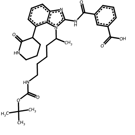 CC(CCCCNC(=O)OC(C)(C)C)n1c(NC(=O)c2cccc(C(=O)O)c2)nc2cccc(C3CCCNC3=O)c21